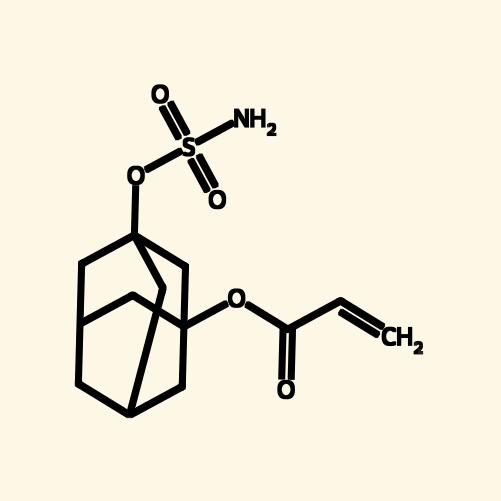 C=CC(=O)OC12CC3CC(C1)CC(OS(N)(=O)=O)(C3)C2